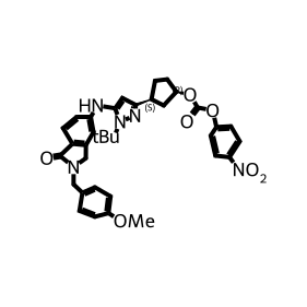 COc1ccc(CN2Cc3cc(Nc4cc([C@H]5CC[C@@H](OC(=O)Oc6ccc([N+](=O)[O-])cc6)C5)nn4C(C)(C)C)ccc3C2=O)cc1